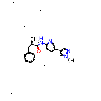 C=C(Cc1ccccc1)C(=O)Nc1ccc(-c2cnn(C)c2)cn1